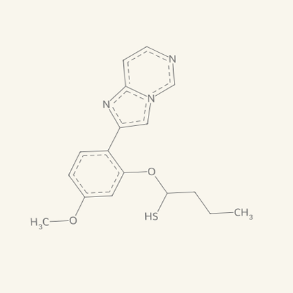 CCCC(S)Oc1cc(OC)ccc1-c1cn2cnccc2n1